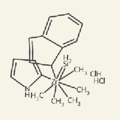 Cl.Cl.[CH3][Zr]([CH3])([CH3])([CH3])([CH3])(=[SiH2])([c]1ccc[nH]1)[CH]1C=Cc2ccccc21